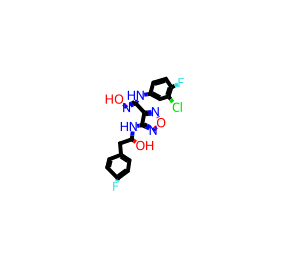 O/N=C(\Nc1ccc(F)c(Cl)c1)c1nonc1NC(O)Cc1ccc(F)cc1